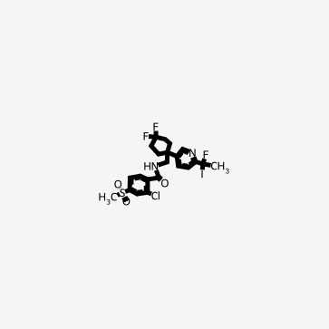 CC(F)(I)c1ccc(C2(CNC(=O)c3ccc(S(C)(=O)=O)cc3Cl)CCC(F)(F)CC2)cn1